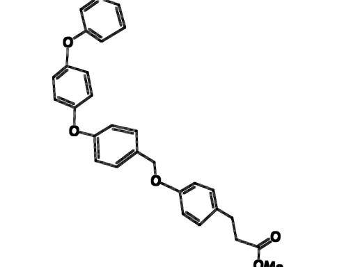 COC(=O)CCc1ccc(OCc2ccc(Oc3ccc(Oc4ccccc4)cc3)cc2)cc1